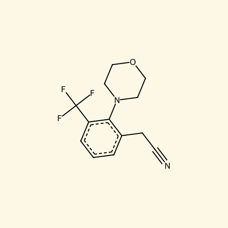 N#CCc1cccc(C(F)(F)F)c1N1CCOCC1